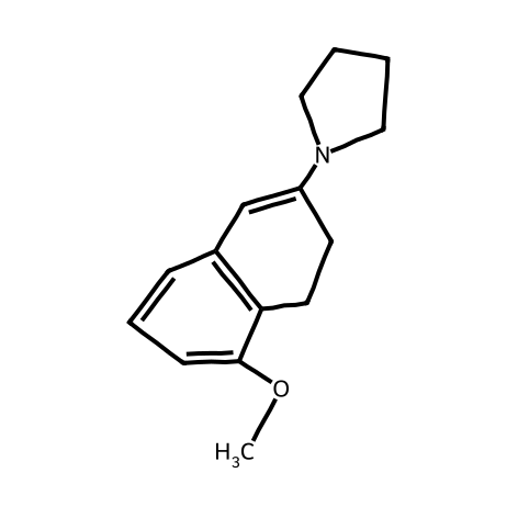 COc1cccc2c1CCC(N1CCCC1)=C2